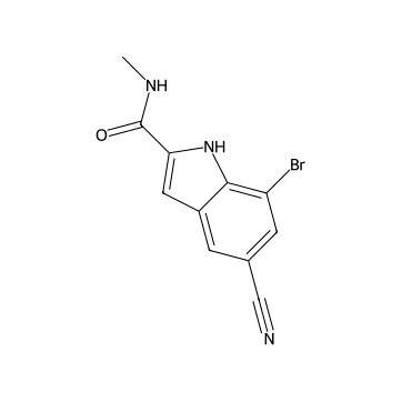 CNC(=O)c1cc2cc(C#N)cc(Br)c2[nH]1